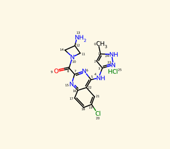 Cc1cc(Nc2nc(C(=O)N3CC(N)C3)nc3ccc(Cl)cc23)n[nH]1.Cl